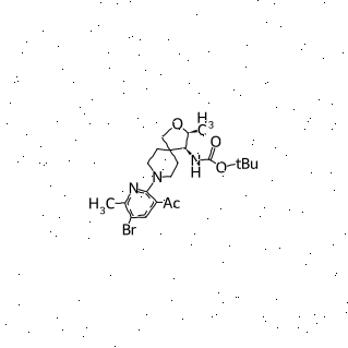 CC(=O)c1cc(Br)c(C)nc1N1CCC2(CC1)CO[C@@H](C)[C@H]2NC(=O)OC(C)(C)C